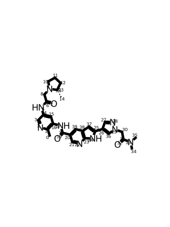 Cc1ncc(NC(=O)CN2CCC[C@@H]2C)cc1NC(=O)c1cnc2[nH]c(-c3cnn(CC(=O)N(C)C)c3)cc2c1